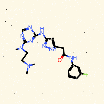 CN(C)CCN(C)c1ncnc(Nc2cc(CC(=O)Nc3cccc(F)c3)[nH]n2)n1